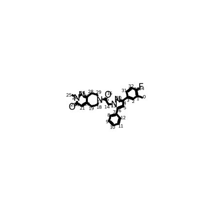 Cc1cc(-c2cc(-c3ccccc3)n(CC(=O)N3CCc4cc(=O)n(C)nc4CC3)n2)ccc1F